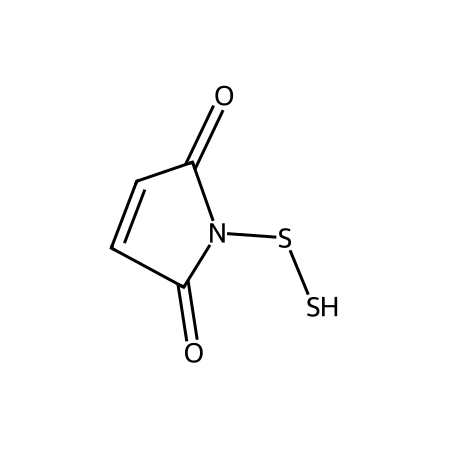 O=C1C=CC(=O)N1SS